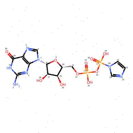 Nc1nc2c(ncn2[C@@H]2O[C@H](COP(=O)(O)OP(=O)(O)n3ccnc3)[C@@H](O)[C@H]2O)c(=O)[nH]1